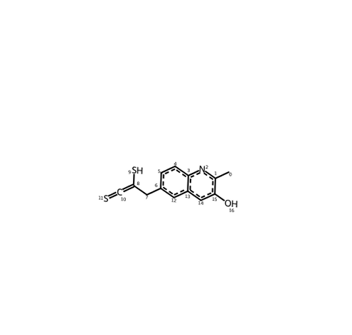 Cc1nc2ccc(CC(S)=C=S)cc2cc1O